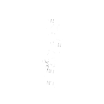 CN(C)c1ccc(-c2cnc(-c3ccc(S(=O)(=O)ONCCN)cc3)o2)cc1